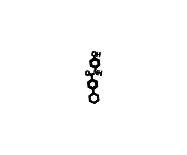 O=C(Nc1ccc(O)cc1)c1ccc(C2CCCCC2)cc1